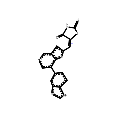 O=C1NC(=S)S/C1=C/c1cc2cncc(-c3ccc4[nH]cnc4c3)c2o1